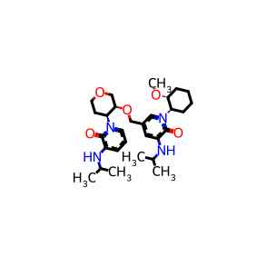 CO[C@@H]1CCCC[C@@H]1n1cc(CO[C@@H]2COCC[C@@H]2n2cccc(NC(C)C)c2=O)cc(NC(C)C)c1=O